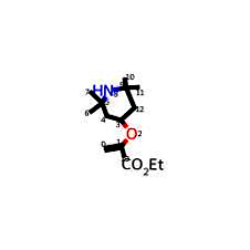 C=C(OC1CC(C)(C)NC(C)(C)C1)C(=O)OCC